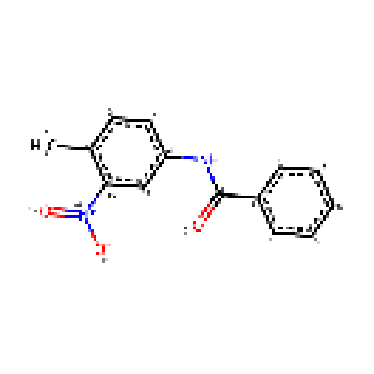 Cc1ccc(NC(=O)c2ccccc2)cc1[N+](=O)[O-]